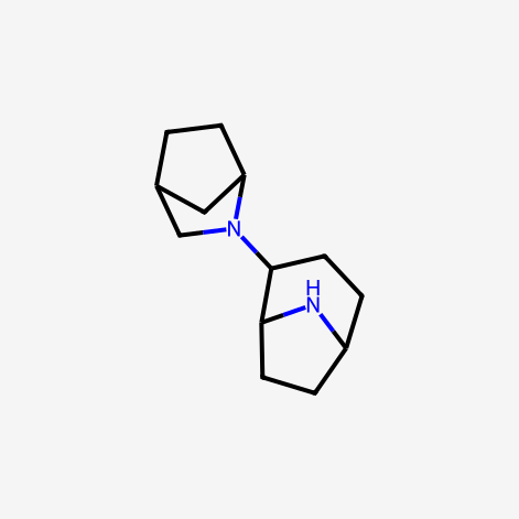 C1CC2CC1CN2C1CCC2CCC1N2